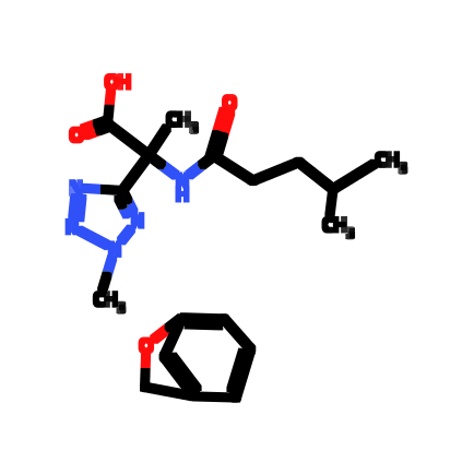 CC(C)CCC(=O)NC(C)(C(=O)O)c1nnn(C)n1.c1cc2cc(c1)OC2